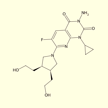 Nn1c(=O)c2cc(F)c(N3C[C@@H](CCO)[C@@H](CCO)C3)nc2n(C2CC2)c1=O